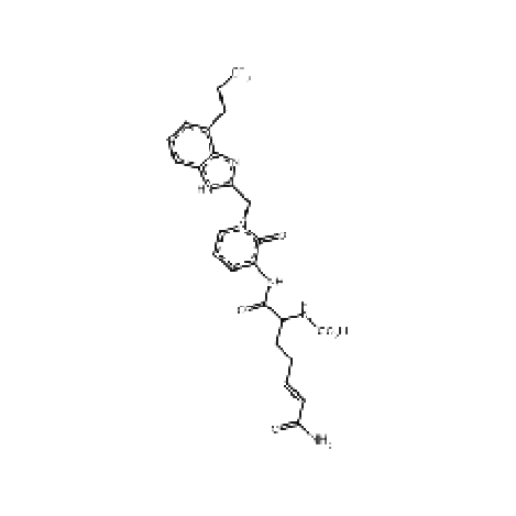 NC(=O)/C=C/CCC(NC(=O)O)C(=O)Nc1cccn(Cc2nc3c(CCC(F)(F)F)cccc3[nH]2)c1=O